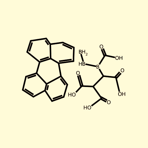 BBB(C(=O)O)C(C(=O)O)C(C(=O)O)C(=O)O.c1cc2cccc3c4cccc5cccc(c(c1)c23)c54